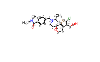 C[C@H]1C[C@@]2(CCN1Cc1ccc(C(=O)N(C)C)cc1)OCCc1c2sc(Cl)c1CO